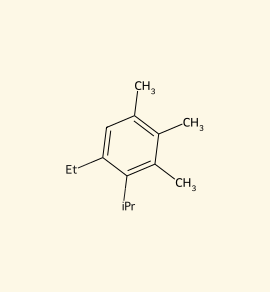 CCc1cc(C)c(C)c(C)c1C(C)C